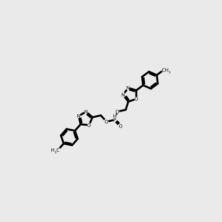 Cc1ccc(-c2nnc(CO[PH](=O)OCc3nnc(-c4ccc(C)cc4)o3)o2)cc1